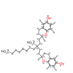 Cc1c(C)c2c(c(C)c1O)CCC(C)(CCC(CCCCCCCC(=O)O)(CCC1(C)CCc3c(C)c(O)c(C)c(C)c3O1)C(=O)O)O2